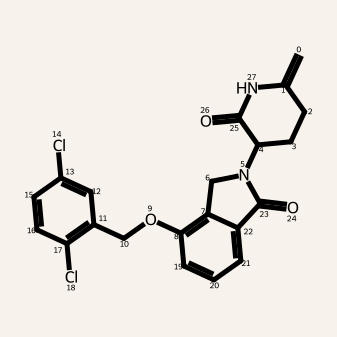 C=C1CCC(N2Cc3c(OCc4cc(Cl)ccc4Cl)cccc3C2=O)C(=O)N1